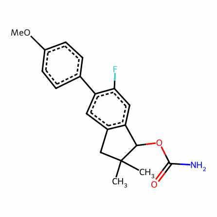 COc1ccc(-c2cc3c(cc2F)C(OC(N)=O)C(C)(C)C3)cc1